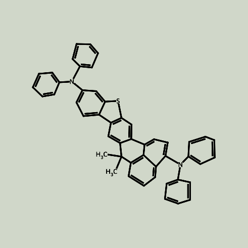 CC1(C)c2cc3c(cc2-c2ccc(N(c4ccccc4)c4ccccc4)c4cccc1c24)sc1cc(N(c2ccccc2)c2ccccc2)ccc13